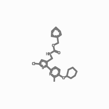 Cc1nc(-c2sc(Cl)cc2CNC(=O)OCc2ccccc2)ccc1OC1CCCCC1